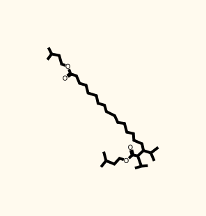 CC(C)CCOC(=O)CCCCCCCCCCCCCCCC(C(C)C)C(C(=O)OCCC(C)C)C(C)C